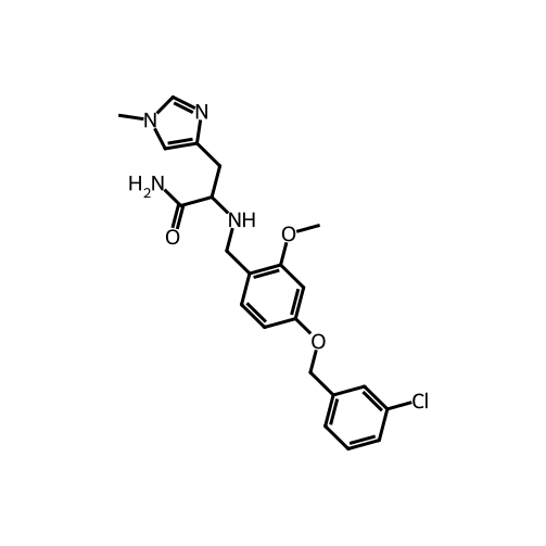 COc1cc(OCc2cccc(Cl)c2)ccc1CNC(Cc1cn(C)cn1)C(N)=O